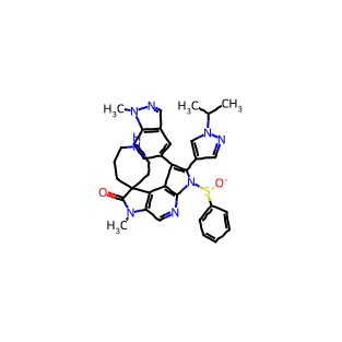 CC(C)n1cc(-c2c(-c3ccc4c(cnn4C)c3)c3c4c(cnc3n2[S+]([O-])c2ccccc2)N(C)C(=O)C42CCCNCC2)cn1